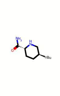 CCCC[C@H]1CC[C@H](C(N)=O)NC1